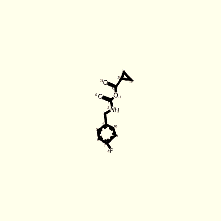 O=C(NCc1ccc(F)cc1)OC(=O)C1CC1